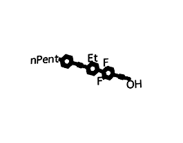 CCCCCc1ccc(C#Cc2ccc(-c3c(F)cc(C#CCO)cc3F)cc2CC)cc1